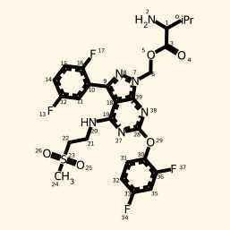 CC(C)C(N)C(=O)OCn1nc(-c2cc(F)ccc2F)c2c(NCCS(C)(=O)=O)nc(Oc3ccc(F)cc3F)nc21